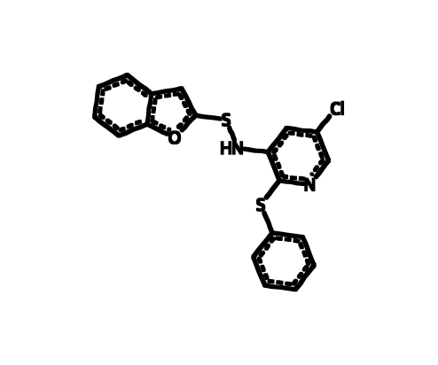 Clc1cnc(Sc2ccccc2)c(NSc2cc3ccccc3o2)c1